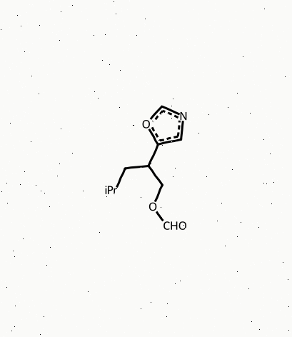 CC(C)CC(COC=O)c1cnco1